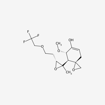 CO[C@@H]1C(O)=CC[C@]2(CO2)[C@H]1C1(C)O[C@@H]1CCOCC(F)(F)F